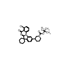 CC(C)(C)OC(=O)N1CCCC(c2ccc3c(c2)-n2c(nc(=O)c4c(Cl)cccc42)C32CCCCC2)C1